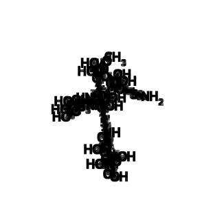 COCC1O[C@H](OCC2O[C@H](OCC3O[C@H](OC)C(OCCCSCCNC(=O)CN(CCN(CCN(CC(=O)O)CC(=O)O)CC(=O)O)CC(=O)O)[C@@H](O)[C@@H]3O)C(OCCCSCCN)[C@@H](O)[C@@H]2O)C(OCCCSCCNC(=N)CS[C@H]2OC(CO)[C@@H](O)C(O)[C@H]2O)[C@@H](O)[C@@H]1O